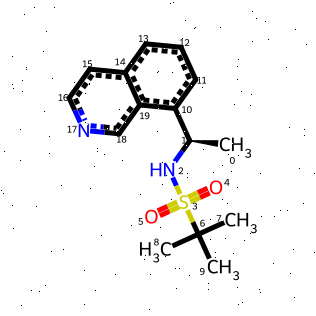 C[C@@H](NS(=O)(=O)C(C)(C)C)c1cccc2ccncc12